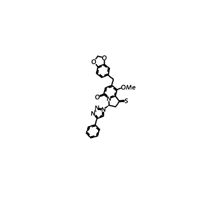 COc1c(Cc2ccc3c(c2)OCO3)cc(=O)n2c1C(=S)C[C@H]2n1cc(-c2ccccc2)nn1